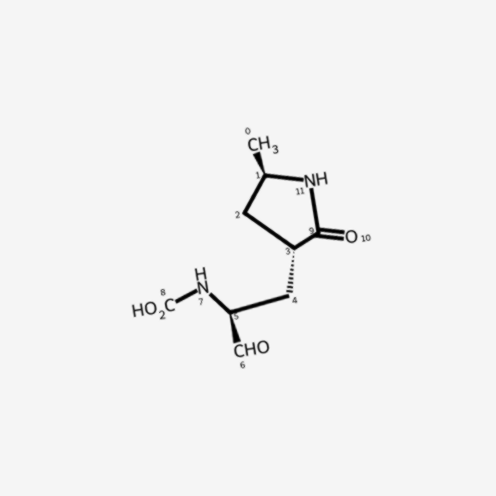 C[C@@H]1C[C@@H](C[C@@H](C=O)NC(=O)O)C(=O)N1